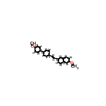 COc1ccc(-c2ccc(C#Cc3ccc4cc(OC)ccc4c3)cc2)cc1